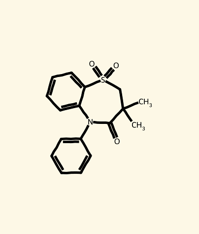 CC1(C)CS(=O)(=O)c2ccccc2N(c2ccccc2)C1=O